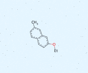 CCOc1ccc2ccc(C)cc2c1